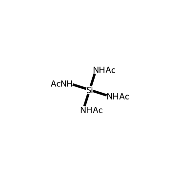 CC(=O)N[Si](NC(C)=O)(NC(C)=O)NC(C)=O